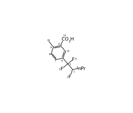 CCCC(F)C(F)(F)c1ccc(C)c(C(=O)O)c1